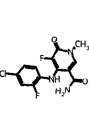 Cn1cc(C(N)=O)c(Nc2ccc(Cl)cc2F)c(F)c1=O